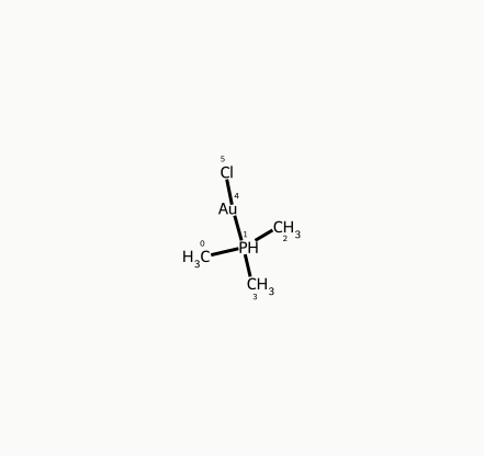 C[PH](C)(C)[Au][Cl]